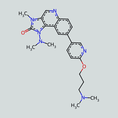 CN(C)CCCOc1ccc(-c2ccc3ncc4c(c3c2)n(N(C)C)c(=O)n4C)cn1